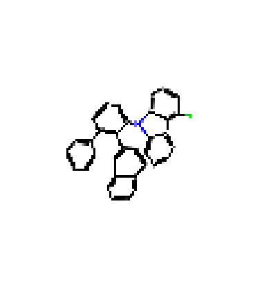 Clc1cccc2c1c1ccccc1n2-c1cccc(-c2ccccc2)c1-c1ccc2ccccc2c1